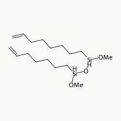 C=CCCCCCC[SiH](OC)O[SiH](CCCCCC=C)OC